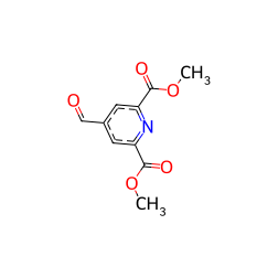 COC(=O)c1cc(C=O)cc(C(=O)OC)n1